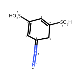 [N-]=[N+]=C1C=C(S(=O)(=O)O)C=C(S(=O)(=O)O)C1